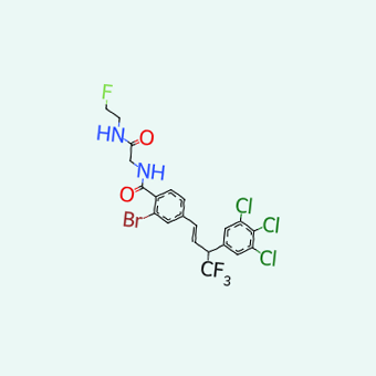 O=C(CNC(=O)c1ccc(/C=C/C(c2cc(Cl)c(Cl)c(Cl)c2)C(F)(F)F)cc1Br)NCCF